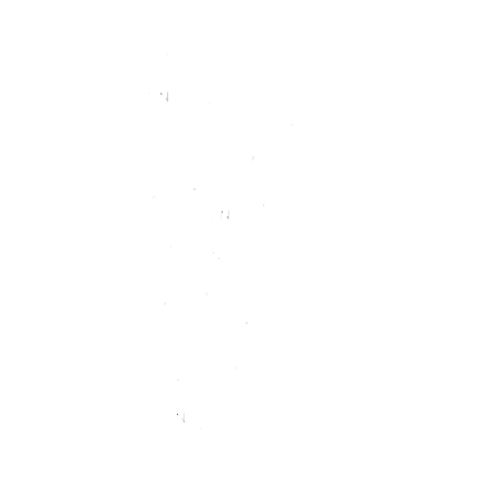 Cc1ccc2c(c1)c1c(n2S(=O)(=O)c2ccc(N)cc2)CCCN(C)C1